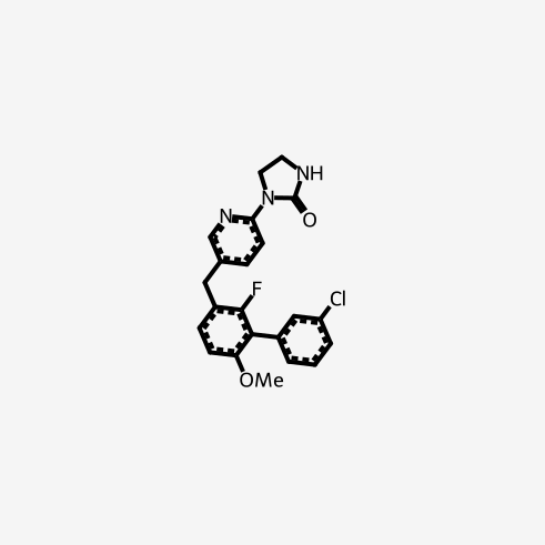 COc1ccc(Cc2ccc(N3CCNC3=O)nc2)c(F)c1-c1cccc(Cl)c1